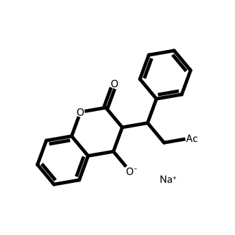 CC(=O)CC(c1ccccc1)C1C(=O)Oc2ccccc2C1[O-].[Na+]